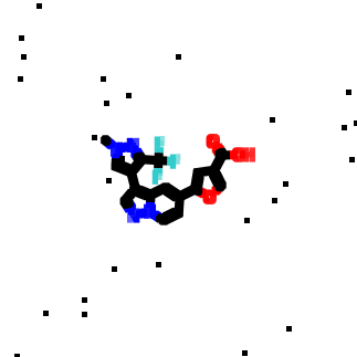 Cn1cc(-c2cnn3ccc(-c4cc(C(=O)O)co4)cc23)c(C(F)(F)F)n1